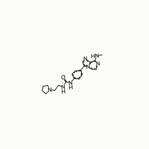 CNc1nccn2c(-c3ccc(NC(=O)NCCN4CCCC4)cc3)cnc12